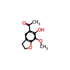 COc1c(O)c(C(C)=O)cc2c1OCC2